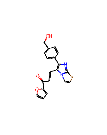 O=C(/C=C/c1c(-c2ccc(CO)cc2)nc2sccn12)c1ccco1